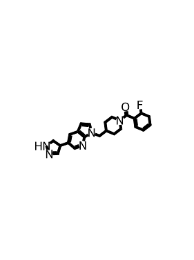 O=C(C1=CC=CCC1F)N1CCC(Cn2ccc3cc(C4C=NNC4)cnc32)CC1